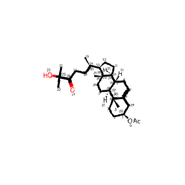 CC(=O)O[C@H]1CC[C@@]2(C)C(=CC[C@H]3[C@@H]4CC[C@H]([C@H](C)CCC(=O)C(C)(C)O)[C@@]4(C)CC[C@@H]32)C1